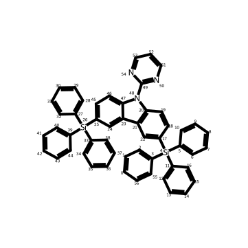 c1ccc([Si](c2ccccc2)(c2ccccc2)c2ccc3c(c2)c2cc([Si](c4ccccc4)(c4ccccc4)c4ccccc4)ccc2n3-c2ncccn2)cc1